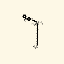 CCCCCCCCCCCCCCCCCC[N+](C)(C)CCCCOc1ccc(C(=O)c2ccccc2)cc1